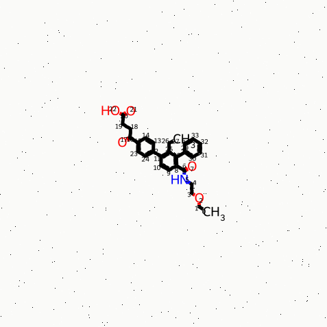 CCOCCNC(=O)c1ccc(-c2ccc(C(=O)CCC(=O)O)cc2)c(CC)c1-c1ccccc1